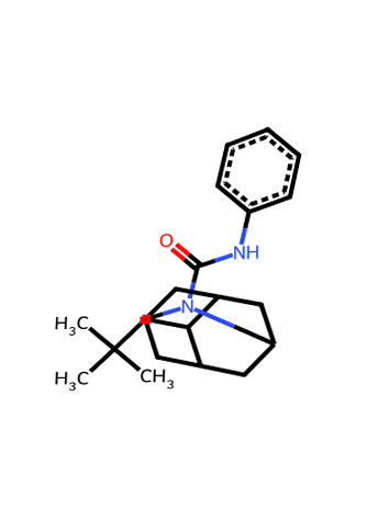 CC(C)(C)CC1C2CC3CC1CC(C2)N3C(=O)Nc1ccccc1